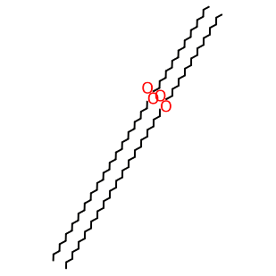 CCCCCCCCCCCCCCCCCCCCCCCCCCCCCCCCOC(=O)CCCCCCCCCCCCCCCCC.CCCCCCCCCCCCCCCCCCCCCCCCCCCCCCCCOC(=O)CCCCCCCCCCCCCCCCC